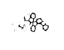 C/C=C(/B1OC(C)(C)C(C)(C)O1)C1=C(C)C2(c3ccccc31)c1ccccc1-c1c2ccc2oc3ccccc3c12